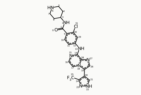 O=C(NC1CCNCC1)c1ccc(Nc2nccn3c(-c4c[nH]nc4C(F)(F)F)cnc23)cc1Cl